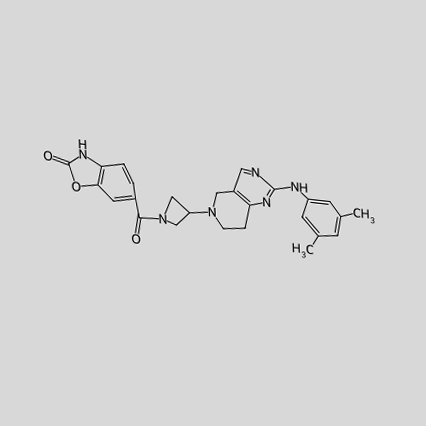 Cc1cc(C)cc(Nc2ncc3c(n2)CCN(C2CN(C(=O)c4ccc5[nH]c(=O)oc5c4)C2)C3)c1